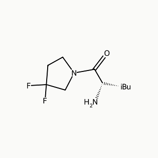 CC[C@@H](C)[C@H](N)C(=O)N1CCC(F)(F)C1